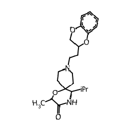 CC1OC2(CCN(CCC3COc4ccccc4O3)CC2)C(C(C)C)NC1=O